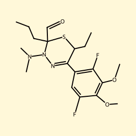 CCCC1(C=O)SC(CC)C(c2cc(F)c(OC)c(OC)c2F)=NN1N(C)C